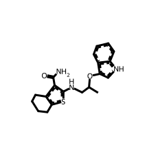 CC(CNc1sc2c(c1C(N)=O)CCCC2)Oc1c[nH]c2ccccc12